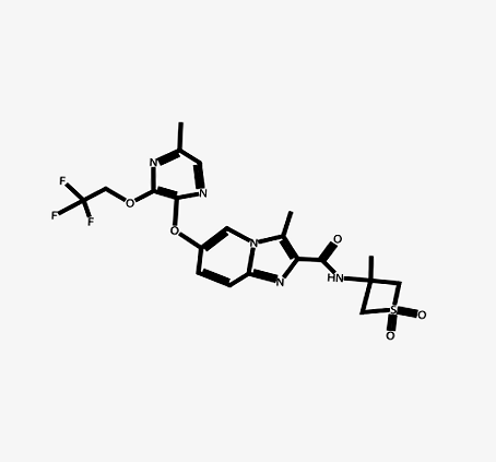 Cc1cnc(Oc2ccc3nc(C(=O)NC4(C)CS(=O)(=O)C4)c(C)n3c2)c(OCC(F)(F)F)n1